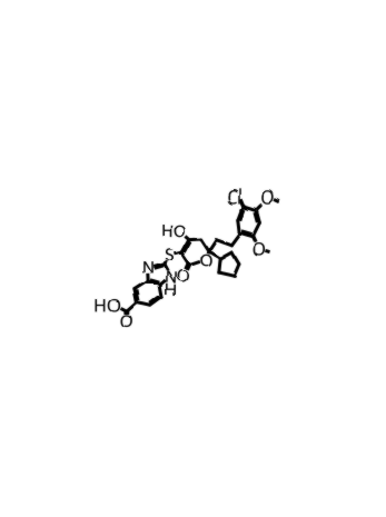 COc1cc(OC)c(CCC2(C3CCCC3)CC(O)=C(Sc3nc4cc(C(=O)O)ccc4[nH]3)C(=O)O2)cc1Cl